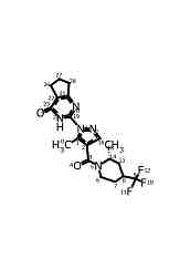 Cc1c(C(=O)N2CCC(C(F)(F)F)C[C@H]2C)cnn1-c1nc2c(c(=O)[nH]1)CCC2